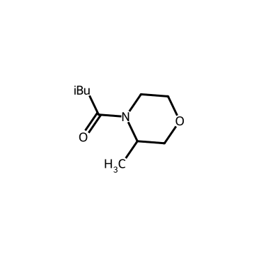 CCC(C)C(=O)N1CCOCC1C